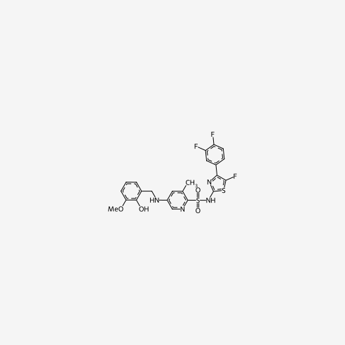 COc1cccc(CNc2cnc(S(=O)(=O)Nc3nc(-c4ccc(F)c(F)c4)c(F)s3)c(C)c2)c1O